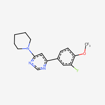 Fc1cc(-c2cc(N3CCCCC3)ncn2)ccc1OC(F)(F)F